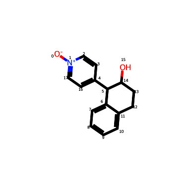 [O-][n+]1ccc(C2c3ccccc3CCC2O)cc1